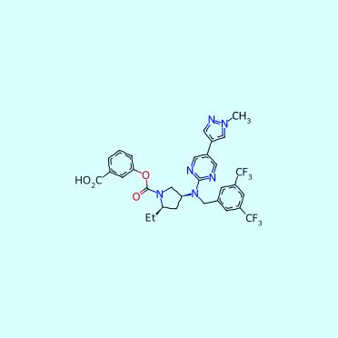 CC[C@@H]1C[C@H](N(Cc2cc(C(F)(F)F)cc(C(F)(F)F)c2)c2ncc(-c3cnn(C)c3)cn2)CN1C(=O)Oc1cccc(C(=O)O)c1